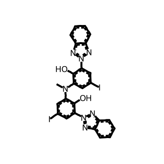 CN(c1cc(I)cc(-n2nc3ccccc3n2)c1O)c1cc(I)cc(-n2nc3ccccc3n2)c1O